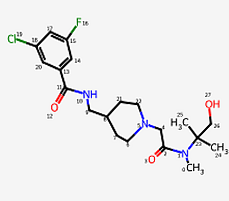 CN(C(=O)CN1CCC(CNC(=O)c2cc(F)cc(Cl)c2)CC1)C(C)(C)CO